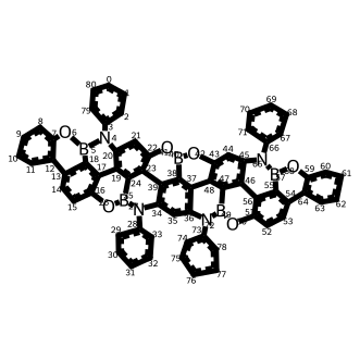 c1ccc(N2B3Oc4ccccc4-c4ccc5c(c43)-c3c2cc2c4c3B(O5)N(c3ccccc3)c3cc5c6c(c3-4)B(O2)Oc2cc3c4c(c2-6)B(Oc2ccc6c(c2-4)B(Oc2ccccc2-6)N3c2ccccc2)N5c2ccccc2)cc1